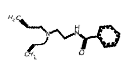 C=CCN(CC=C)CCNC(=O)c1ccccc1